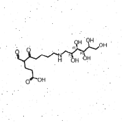 O=CC(CCC(=O)O)C(=O)CCCCNC[C@H](O)[C@@H](O)[C@H](O)C(O)CO